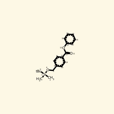 CC(C)(C)[Si](C)(C)OCc1ccc(C(=O)Oc2ccccc2)cc1